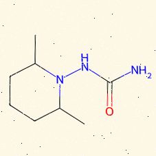 CC1CCCC(C)N1NC(N)=O